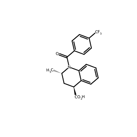 C[C@H]1C[C@H](C(=O)O)c2ccccc2N1C(=O)c1ccc(C(F)(F)F)cc1